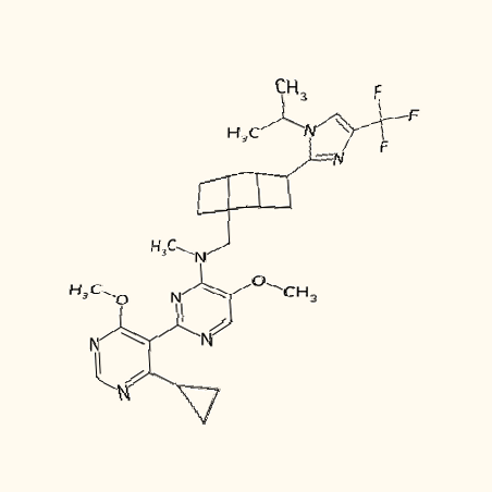 COc1cnc(-c2c(OC)ncnc2C2CC2)nc1N(C)CC12C3C4C1C1C2C3C41c1nc(C(F)(F)F)cn1C(C)C